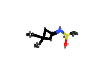 CC1(C#N)CC(=N[S@+]([O-])C(C)(C)C)C1